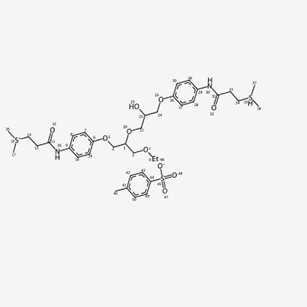 CCOCC(COc1ccc(NC(=O)CC[S+](C)C)cc1)OCC(O)COc1ccc(NC(=O)CC[SH](C)C)cc1.Cc1ccc(S(=O)(=O)[O-])cc1